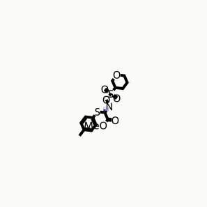 COC(=O)/C(=N/OS(=O)(=O)C1CCCOC1)Sc1ccc(C)cc1